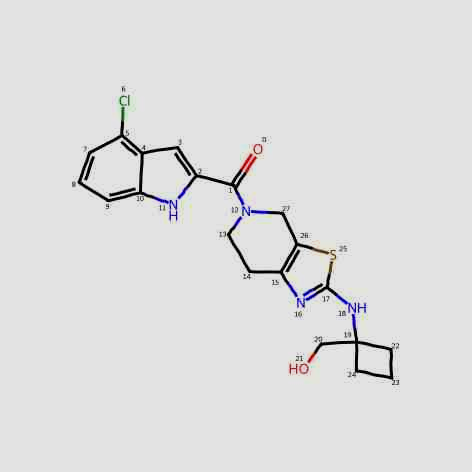 O=C(c1cc2c(Cl)cccc2[nH]1)N1CCc2nc(NC3(CO)CCC3)sc2C1